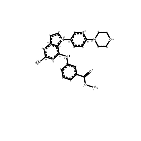 COC(=O)c1cccc(Nc2nc(N)nc3ccn(-c4ccc(N5CCOCC5)nc4)c23)c1